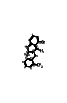 [2H]C1=c2c(Br)cccc2=NC([2H])N1Cc1ccccc1C(F)(F)F